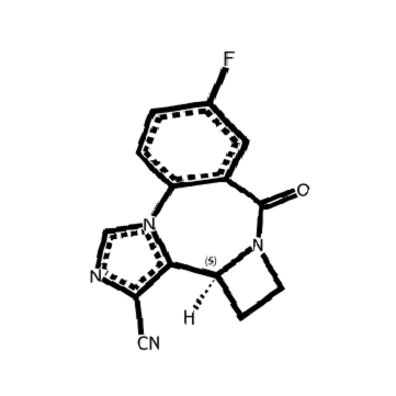 N#Cc1ncn2c1[C@@H]1CCN1C(=O)c1cc(F)ccc1-2